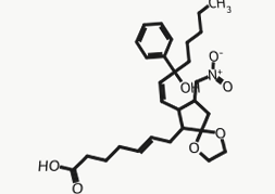 CCCCCC(O)(/C=C\C1C(C[N+](=O)[O-])CC2(OCCO2)C1C/C=C/CCCC(=O)O)c1ccccc1